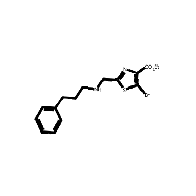 CCOC(=O)c1nc(CNCCCc2ccccc2)sc1Br